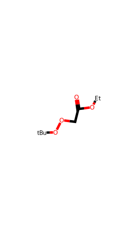 CCOC(=O)COOC(C)(C)C